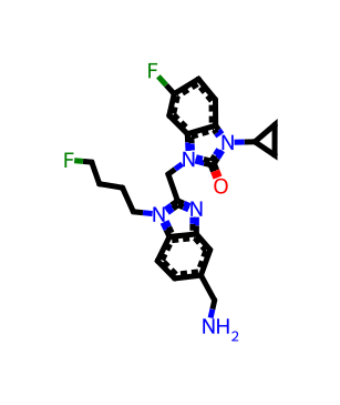 NCc1ccc2c(c1)nc(Cn1c(=O)n(C3CC3)c3ccc(F)cc31)n2CCCCF